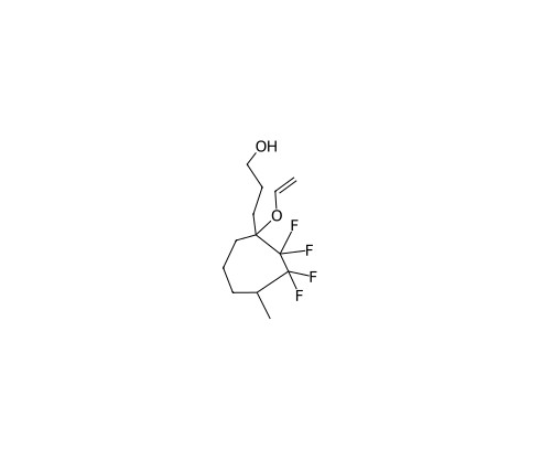 C=COC1(CCCO)CCCC(C)C(F)(F)C1(F)F